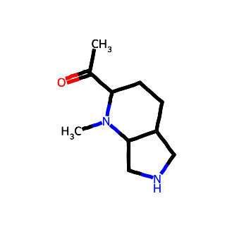 CC(=O)C1CCC2CNCC2N1C